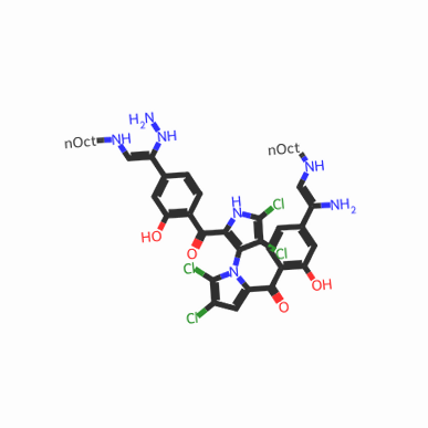 CCCCCCCCN/C=C(\N)c1ccc(C(=O)c2cc(Cl)c(Cl)n2-c2c(C(=O)c3ccc(/C(=C/NCCCCCCCC)NN)cc3O)[nH]c(Cl)c2Cl)c(O)c1